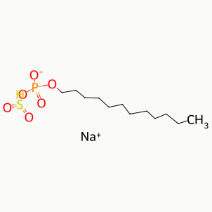 CCCCCCCCCCCCOP(=O)([O-])O[SH](=O)=O.[Na+]